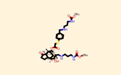 C[C@@H]1[C@@H](C)C[C@@]23CCC(=O)[C@H]2[C@]1(C)[C@H](OC(=O)CSc1ccc(CNCCCNC(=O)OC(C)(C)C)cc1)C[C@](C)(CNCCCNC(=O)OC(C)(C)C)[C@@H](O)[C@@H]3C